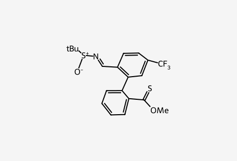 COC(=S)c1ccccc1-c1cc(C(F)(F)F)ccc1/C=N/[S+]([O-])C(C)(C)C